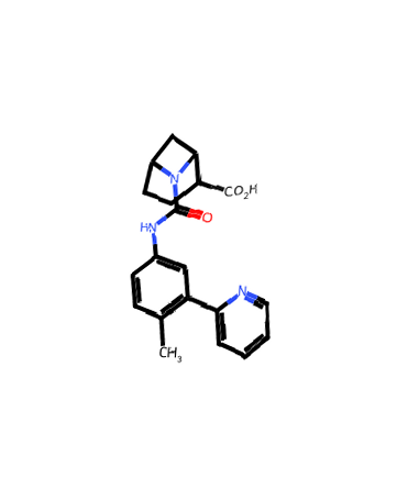 Cc1ccc(NC(=O)N2C3CCC(C(=O)O)C2C3)cc1-c1ccccn1